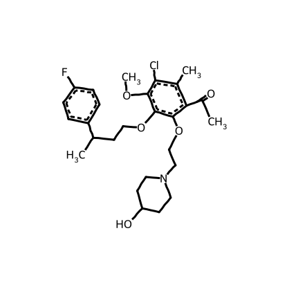 COc1c(Cl)c(C)c(C(C)=O)c(OCCN2CCC(O)CC2)c1OCCC(C)c1ccc(F)cc1